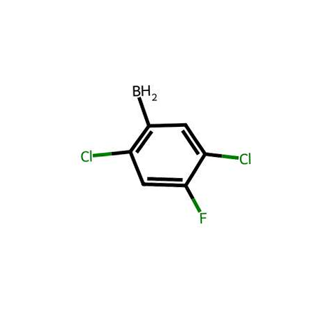 Bc1cc(Cl)c(F)cc1Cl